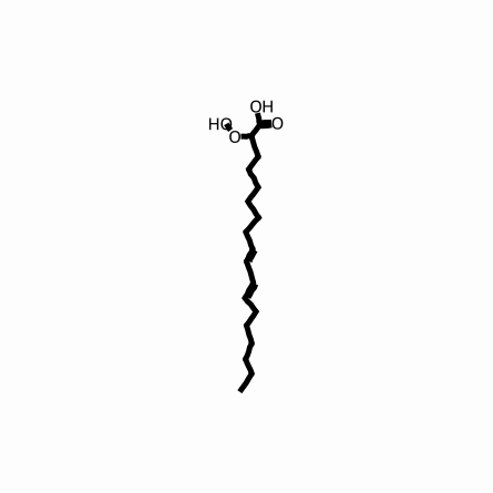 CCCCCC/C=C/C=C/CCCCCCC(OO)C(=O)O